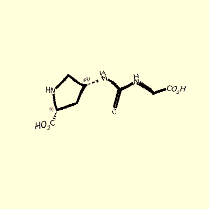 O=C(O)CNC(=O)N[C@H]1CN[C@@H](C(=O)O)C1